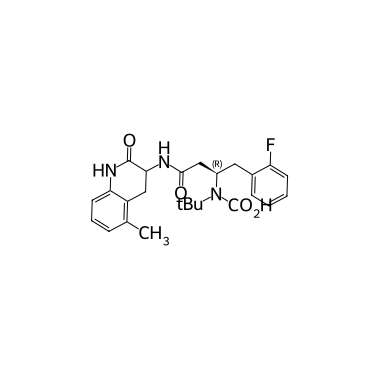 Cc1cccc2c1CC(NC(=O)C[C@@H](Cc1ccccc1F)N(C(=O)O)C(C)(C)C)C(=O)N2